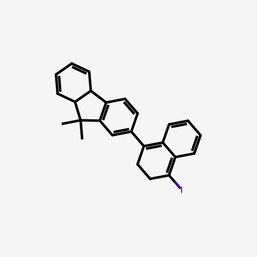 CC1(C)c2cc(C3=c4ccccc4=C(I)CC3)ccc2C2C=CC=CC21